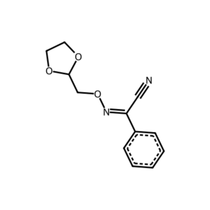 N#C/C(=N\OCC1OCCO1)c1ccccc1